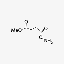 COC(=O)CCC(=O)ON